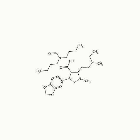 CCC(C)CCC1C(C(=O)O)C(c2ccc3c(c2)OCO3)CN1C.CCCCN(C=O)CCCC